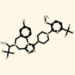 COc1ccc(C(F)(F)F)nc1N1CCC(c2nnc3n2-c2ccc(Cl)cc2CN(C(C)C(F)(F)F)C3)CC1